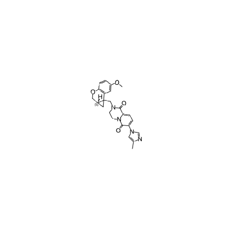 COc1ccc2c(c1)C1(CN3CCn4c(ccc(-n5cnc(C)c5)c4=O)C3=O)C[C@@H]1CO2